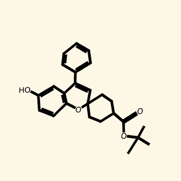 CC(C)(C)OC(=O)C1CCC2(C=C(c3ccccc3)c3cc(O)ccc3O2)CC1